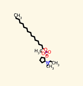 CCCCCCCCCCCCCCCCOP(=O)(OC)O[C@H]1CCC[C@H]1N(C)CC